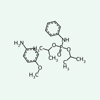 CC(C)OP(=O)(Nc1ccccc1)OC(C)C.COc1ccc(N)cc1